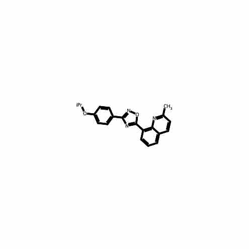 Cc1ccc2cccc(-c3nc(-c4ccc(OC(C)C)cc4)no3)c2n1